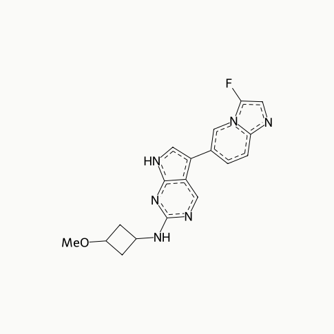 COC1CC(Nc2ncc3c(-c4ccc5ncc(F)n5c4)c[nH]c3n2)C1